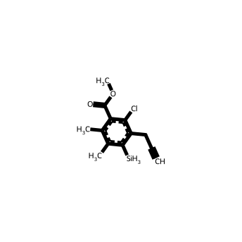 C#CCc1c([SiH3])c(C)c(C)c(C(=O)OC)c1Cl